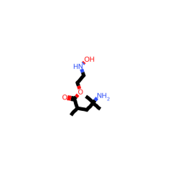 CC(CC(C)(C)N)C(=O)OCCNO